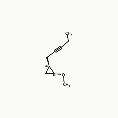 CCC#CC[C@@H]1C[C@H]1OC